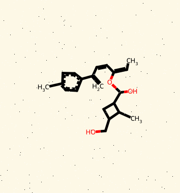 C=C(/C=C\C(=C/C)OC(O)C1CC(CO)C1C)c1ccc(C)cc1